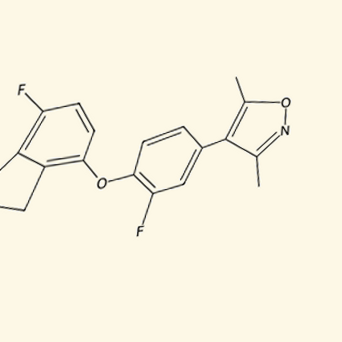 Cc1noc(C)c1-c1ccc(Oc2ccc(F)c3c2CCC3)c(F)c1